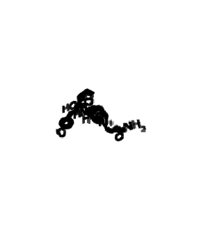 COc1ccc(CCC(O)(C(=O)N[C@H]2C[N+]3(CCC(N)=O)CCC2CC3)c2ccco2)cc1